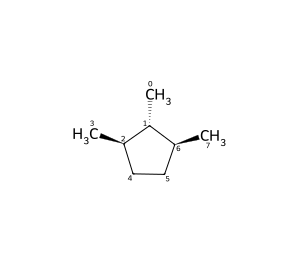 C[C@H]1[C@H](C)CC[C@@H]1C